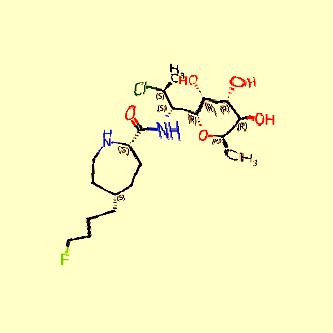 C[C@H](Cl)[C@@H](NC(=O)[C@@H]1CC[C@H](CCCCF)CCN1)[C@H]1O[C@H](C)[C@H](O)[C@@H](O)[C@H]1O